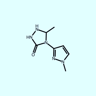 CC1NNC(=O)N1c1ccn(C)n1